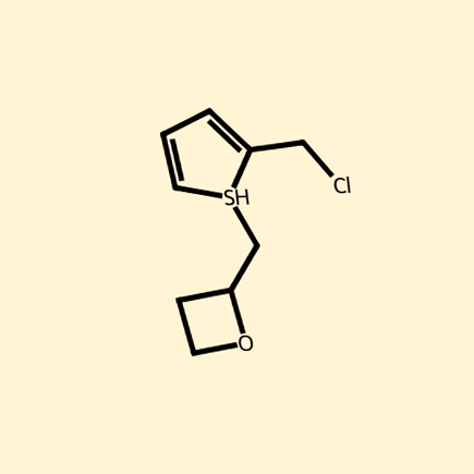 ClCC1=CC=C[SH]1CC1CCO1